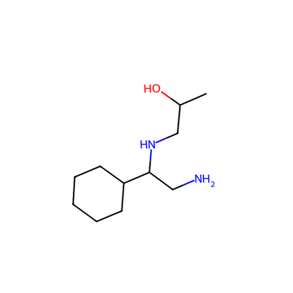 CC(O)CNC(CN)C1CCCCC1